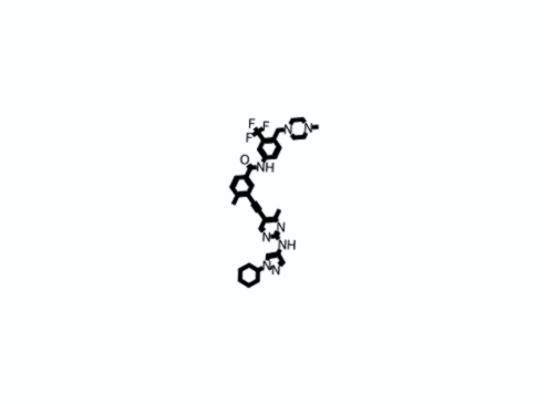 Cc1ccc(C(=O)Nc2ccc(CN3CCN(C)CC3)c(C(F)(F)F)c2)cc1C#Cc1cnc(Nc2cnn(C3CCCCC3)c2)nc1C